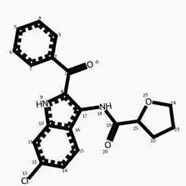 O=C(c1ccccc1)c1[nH]c2cc(Cl)ccc2c1NC(=O)C1CCCO1